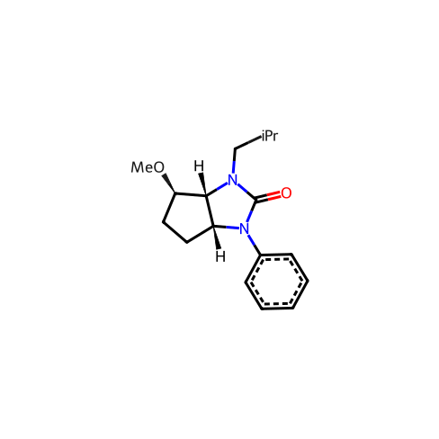 CO[C@@H]1CC[C@@H]2[C@H]1N(CC(C)C)C(=O)N2c1ccccc1